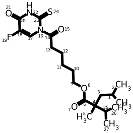 CC(C)CC(C)(C(=O)OCCCCCC(=O)n1cc(F)c(=O)[nH]c1=S)C(C)C